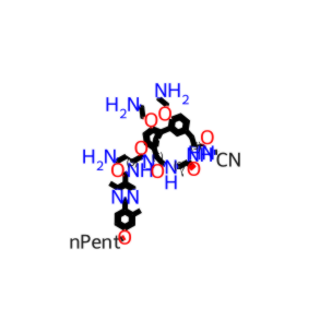 CCCCCOc1ccc(-c2ncc(C(=O)N[C@@H](CCN)C(=O)N(C)[C@@H]3C(=O)N[C@@H](C)C(=O)N[C@H](C(=O)NCC#N)Cc4ccc(OCCN)c(c4)-c4cc3ccc4OCCN)c(C)n2)c(C)c1